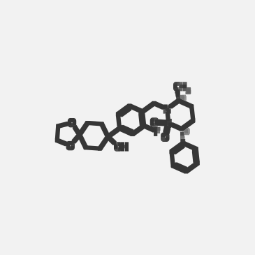 C[C@H]1CC[C@H](c2ccccc2)S(=O)(=O)N1Cc1ccc(C2(O)CCC3(CC2)OCCO3)cc1F